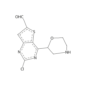 O=Cc1cc2nc(Cl)nc(C3CNCCO3)c2s1